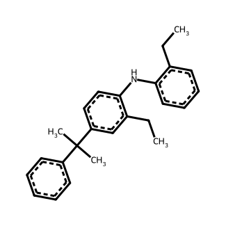 CCc1ccccc1Nc1ccc(C(C)(C)c2ccccc2)cc1CC